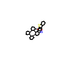 c1ccc2c(c1)-c1ccccc1-c1ccc3ncccc3c1-c1c-2cccc1-c1cccc2c1sc1ccccc12